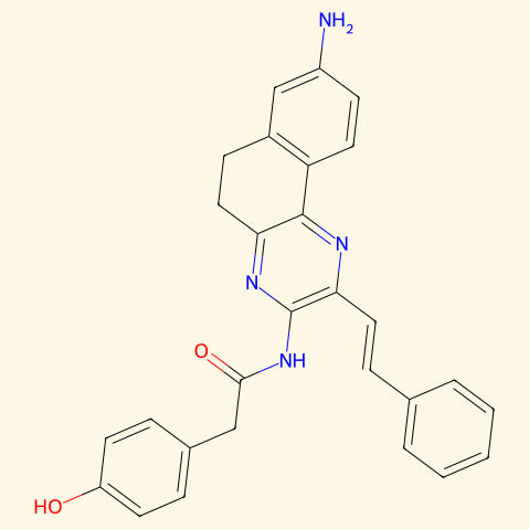 Nc1ccc2c(c1)CCc1nc(NC(=O)Cc3ccc(O)cc3)c(/C=C/c3ccccc3)nc1-2